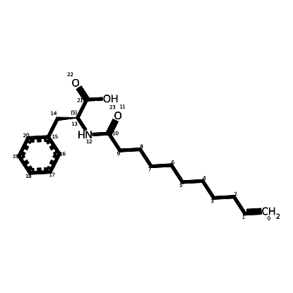 C=CCCCCCCCCC(=O)N[C@@H](Cc1ccccc1)C(=O)O